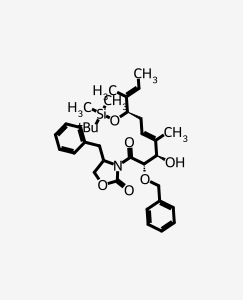 CC=C(C)[C@@H](CC=C(C)[C@@H](O)[C@H](OCc1ccccc1)C(=O)N1C(=O)OCC1Cc1ccccc1)O[Si](C)(C)C(C)(C)C